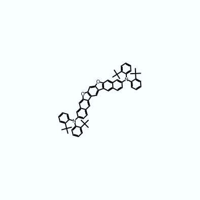 CC(C)(C)c1ccccc1N(c1ccc2cc3c(cc2c1)oc1cc2oc4cc5cc(N(c6ccccc6C(C)(C)C)c6ccccc6C(C)(C)C)ccc5cc4c2cc13)c1ccccc1C(C)(C)C